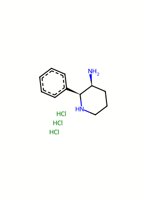 Cl.Cl.Cl.N[C@H]1CCCN[C@H]1c1ccccc1